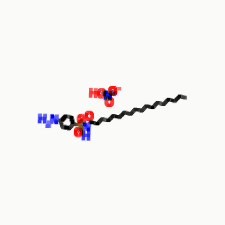 CCCCCCCCCCCCCCCCCC(=O)NS(=O)(=O)c1ccc(N)cc1.O=[N+]([O-])O